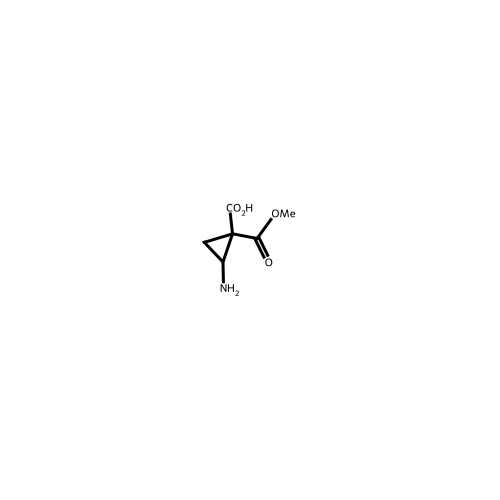 COC(=O)C1(C(=O)O)CC1N